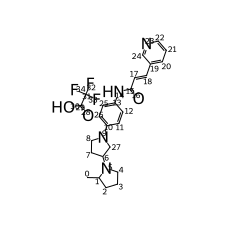 CC1CCCN1C1CCN(c2ccc(NC(=O)C=Cc3cccnc3)cc2)C1.O=C(O)C(F)(F)F